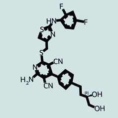 N#Cc1c(N)nc(SCc2csc(Nc3ccc(F)cc3F)n2)c(C#N)c1-c1ccc(CC[C@@H](O)CO)cc1